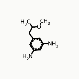 COC(C)Cc1cc(N)cc(N)c1